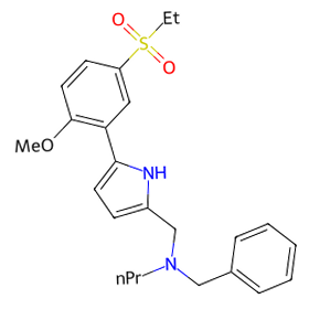 CCCN(Cc1ccccc1)Cc1ccc(-c2cc(S(=O)(=O)CC)ccc2OC)[nH]1